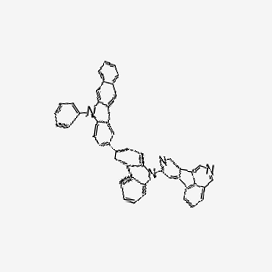 c1ccc(-n2c3ccc(-c4ccc5c(c4)c4ccccc4n5-c4cc5c(cn4)-c4cncc6cccc-5c46)cc3c3cc4ccccc4cc32)cc1